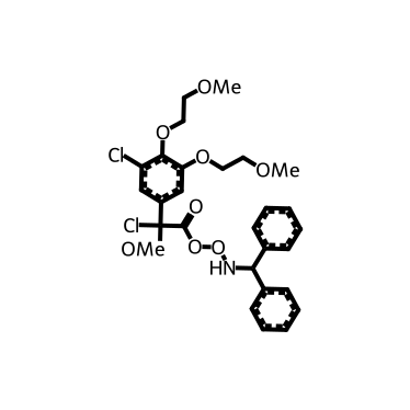 COCCOc1cc(C(Cl)(OC)C(=O)OONC(c2ccccc2)c2ccccc2)cc(Cl)c1OCCOC